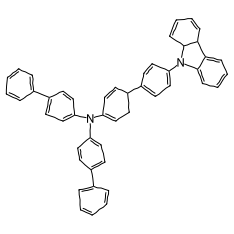 C1=CC2c3ccccc3N(c3ccc(C4C=CC(N(c5ccc(-c6ccccc6)cc5)c5ccc(-c6ccccc6)cc5)=CC4)cc3)C2C=C1